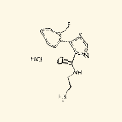 Cl.NCCNC(=O)c1ncsc1-c1ccccc1F